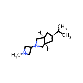 CC(C)[C@@H]1C[C@@H]2CN(C3CN(C)C3)C[C@@H]2C1